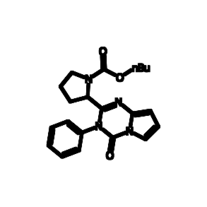 CCCCOC(=O)N1CCCC1c1nc2cccn2c(=O)n1-c1ccccc1